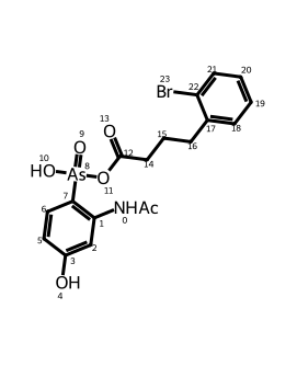 CC(=O)Nc1cc(O)ccc1[As](=O)(O)OC(=O)CCCc1ccccc1Br